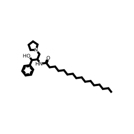 CCCCCCCCCCCCCCCC(=O)NC(CN1CCCC1)C(O)c1ccccc1